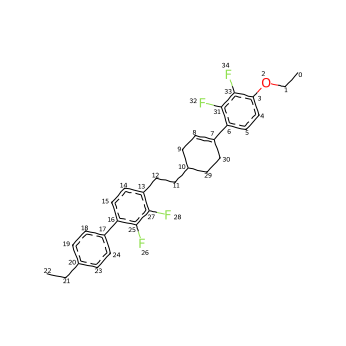 CCOc1ccc(C2=CCC(CCc3ccc(-c4ccc(CC)cc4)c(F)c3F)CC2)c(F)c1F